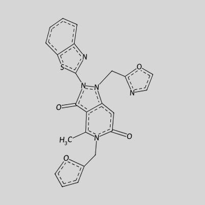 Cc1c2c(=O)n(-c3nc4ccccc4s3)n(Cc3ncco3)c2cc(=O)n1Cc1ccco1